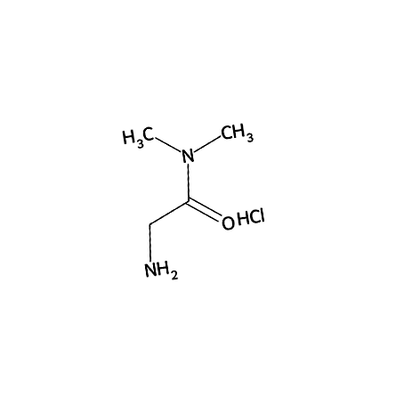 CN(C)C(=O)CN.Cl